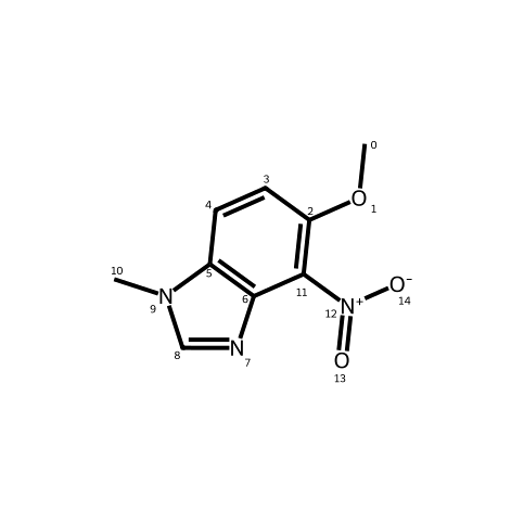 COc1ccc2c(ncn2C)c1[N+](=O)[O-]